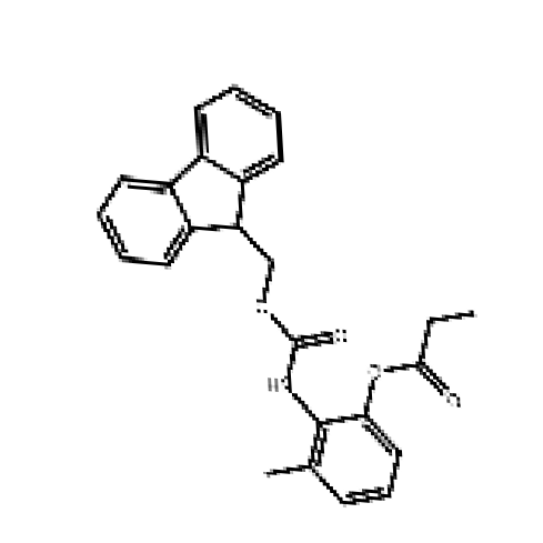 CCC(=O)Oc1cccc(C)c1NC(=O)OCC1c2ccccc2-c2ccccc21